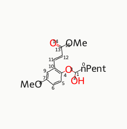 CCCCCC(O)Oc1ccc(OC)cc1/C=C/C(=O)OC